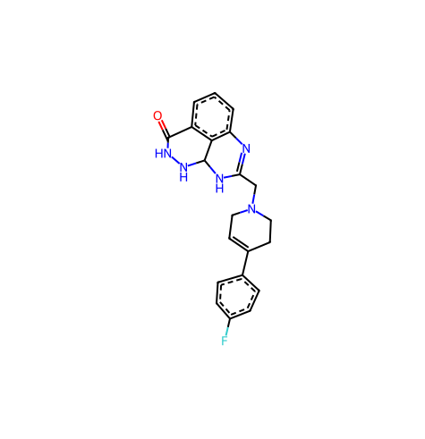 O=C1NNC2NC(CN3CC=C(c4ccc(F)cc4)CC3)=Nc3cccc1c32